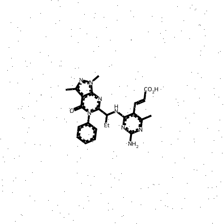 CCC(Nc1nc(N)nc(C)c1/C=C/C(=O)O)c1nc2c(c(C)nn2C)c(=O)n1-c1ccccc1